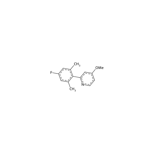 COc1ccnc(-c2c(C)cc(F)cc2C)c1